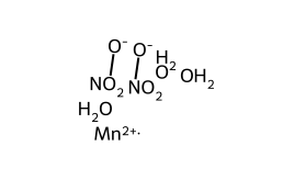 O.O.O.O=[N+]([O-])[O-].O=[N+]([O-])[O-].[Mn+2]